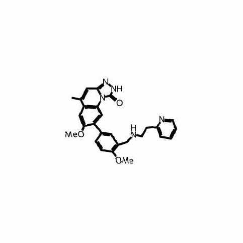 COc1ccc(-c2cc3c(cc2OC)c(C)cc2n[nH]c(=O)n23)cc1CNCCc1ccccn1